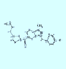 Cc1nn(Cc2ccc(F)cc2)c2c1CCN(C(=O)C1CCN(CCC(=O)O)C1)C2